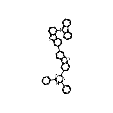 c1ccc(-c2nc(-c3ccccc3)nc(-c3ccc4oc5cc(-c6ccc7c(c6)sc6cccc(-n8c9ccccc9c9ccccc98)c67)ccc5c4c3)n2)cc1